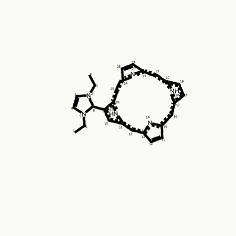 CCN1C=CN(CC)C1c1cc2cc3nc(cc4ccc(cc5nc(cc1[nH]2)C=C5)[nH]4)C=C3